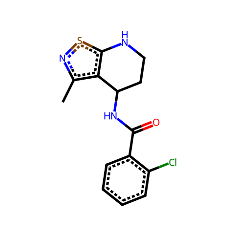 Cc1nsc2c1C(NC(=O)c1ccccc1Cl)CCN2